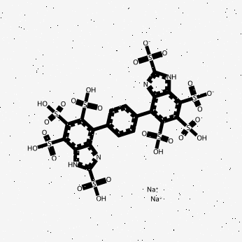 O=S(=O)([O-])c1nc2c(-c3ccc(-c4c(S(=O)(=O)O)c(S(=O)(=O)O)c(S(=O)(=O)O)c5[nH]c(S(=O)(=O)O)nc45)cc3)c(S(=O)(=O)O)c(S(=O)(=O)O)c(S(=O)(=O)[O-])c2[nH]1.[Na+].[Na+]